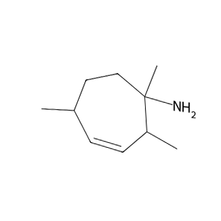 CC1C=CC(C)C(C)(N)CC1